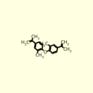 C=C(C)c1ccc(Oc2ccc(C(=C)C)cc2C)c(C)c1